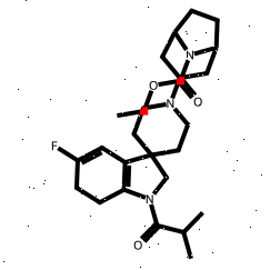 CCOC(=O)N1C2CCC1CC(N1CCC3(CC1)CN(C(=O)C(C)C)C1=C3C=C(F)CC1)C2